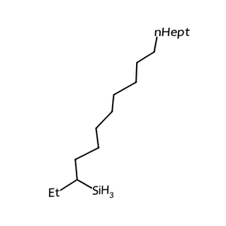 CCCCCCCCCCCCCCCC([SiH3])CC